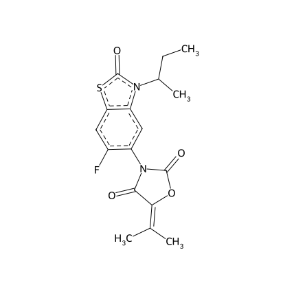 CCC(C)n1c(=O)sc2cc(F)c(N3C(=O)OC(=C(C)C)C3=O)cc21